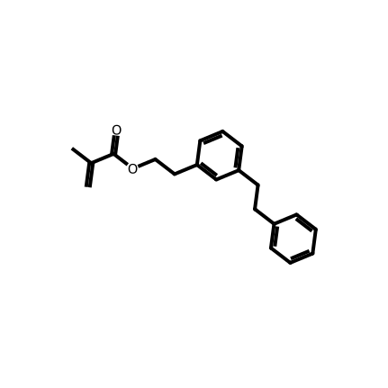 C=C(C)C(=O)OCCc1cccc(CCc2ccccc2)c1